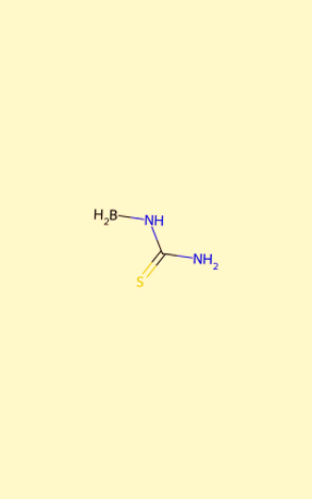 BNC(N)=S